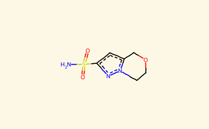 NS(=O)(=O)c1cc2n(n1)CCOC2